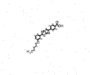 CCCCCOc1cccc(-c2nn3cc(-c4ccc(C(=O)O)cc4)nc3s2)c1